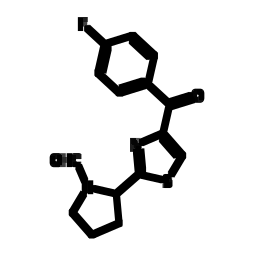 O=CN1CCCC1c1nc(C(=O)c2ccc(F)cc2)cs1